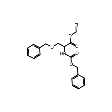 O=C(NC(COCc1ccccc1)C(=O)OCCl)OCc1ccccc1